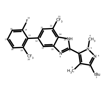 Cc1c(C(C)(C)C)nn(C)c1-c1nc2cc(-c3c(F)cccc3C(F)(F)F)cc(C(F)(F)F)c2[nH]1